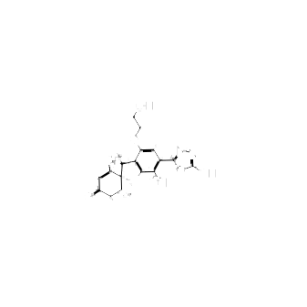 Cc1nnc(-c2cc(OCCO)c3c(c2Cl)O[C@]2(C3=O)C(O)=CC(=O)C[C@H]2C)o1